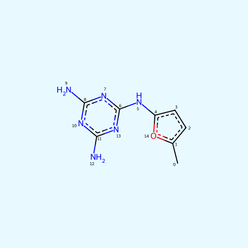 Cc1ccc(Nc2nc(N)nc(N)n2)o1